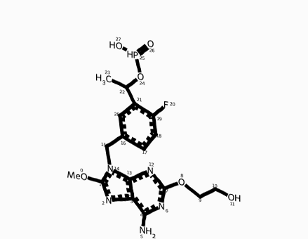 COc1nc2c(N)nc(OCCO)nc2n1Cc1ccc(F)c(C(C)O[PH](=O)O)c1